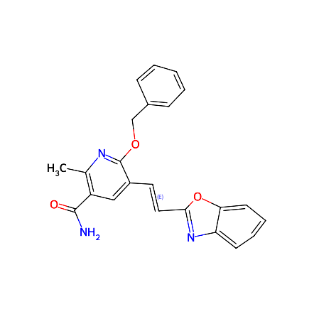 Cc1nc(OCc2ccccc2)c(/C=C/c2nc3ccccc3o2)cc1C(N)=O